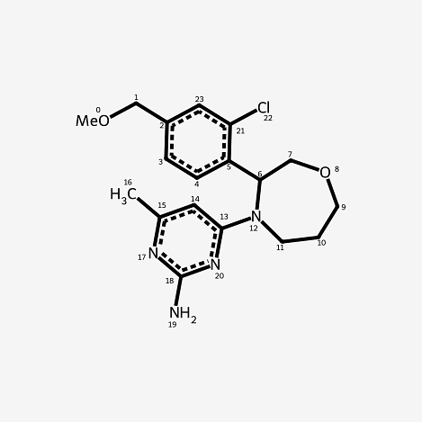 COCc1ccc(C2COCCCN2c2cc(C)nc(N)n2)c(Cl)c1